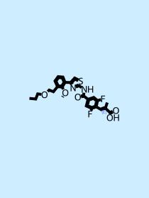 CCCOCCc1cccc(-c2csc(NC(=O)c3cc(F)c(/C=C(\C)C(=O)O)c(F)c3)n2)c1OC